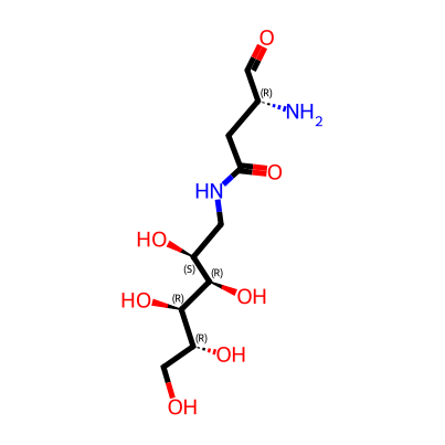 N[C@@H](C=O)CC(=O)NC[C@H](O)[C@@H](O)[C@H](O)[C@H](O)CO